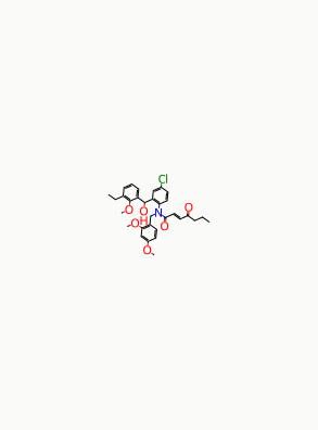 CCCC(=O)/C=C/C(=O)N(Cc1ccc(OC)cc1OC)c1ccc(Cl)cc1C(O)c1cccc(CC)c1OC